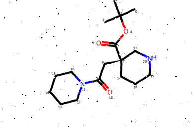 CC(C)(C)OC(=O)[C@@]1(CC(=O)N2CC[CH]CC2)CCCNC1